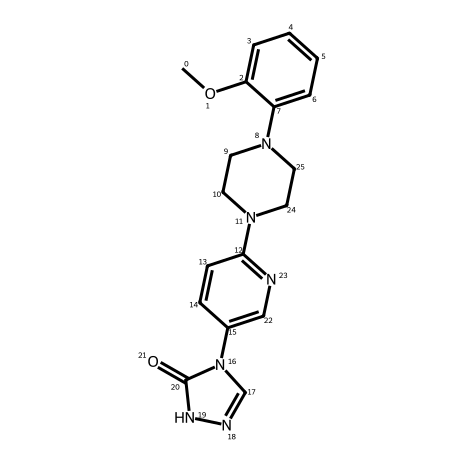 COc1ccccc1N1CCN(c2ccc(-n3cn[nH]c3=O)cn2)CC1